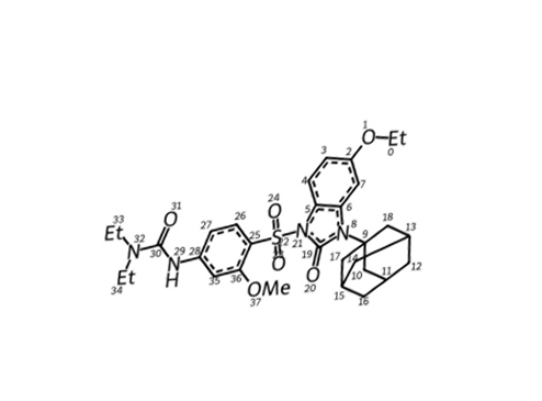 CCOc1ccc2c(c1)n(C13CC4CC(CC(C4)C1)C3)c(=O)n2S(=O)(=O)c1ccc(NC(=O)N(CC)CC)cc1OC